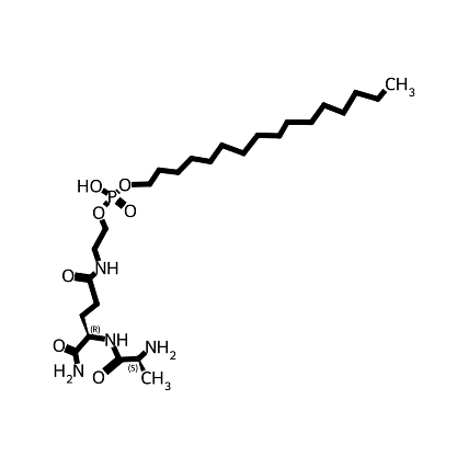 CCCCCCCCCCCCCCCCOP(=O)(O)OCCNC(=O)CC[C@@H](NC(=O)[C@H](C)N)C(N)=O